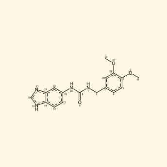 COc1ccc(CNC(=O)Nc2ccc3[nH]cnc3c2)cc1OC